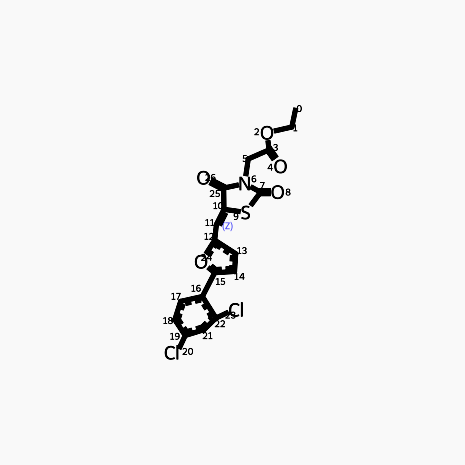 CCOC(=O)CN1C(=O)S/C(=C\c2ccc(-c3ccc(Cl)cc3Cl)o2)C1=O